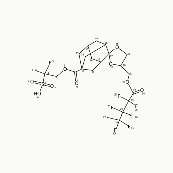 O=C(OCC(F)(F)S(=O)(=O)O)C12CC3CC(C1)C1(OCC(COC(=O)C(F)(F)C(F)(F)C(F)(F)F)O1)C(C3)C2